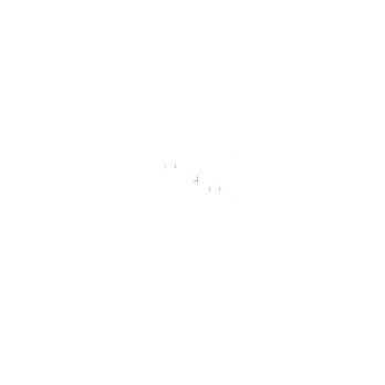 C=CC(=O)OC(CC)[Si](C)(OCCC)OCCC